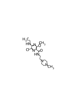 CCNc1nc(OC)c(C(=O)NCCN2CCN(C)CC2)nc1Cl